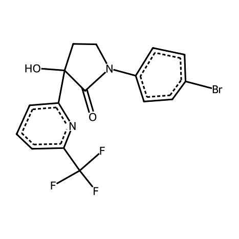 O=C1N(c2ccc(Br)cc2)CCC1(O)c1cccc(C(F)(F)F)n1